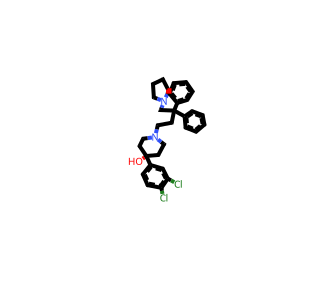 OC1(c2ccc(Cl)c(Cl)c2)CCN(CCC(CN2CCCC2)(c2ccccc2)c2ccccc2)CC1